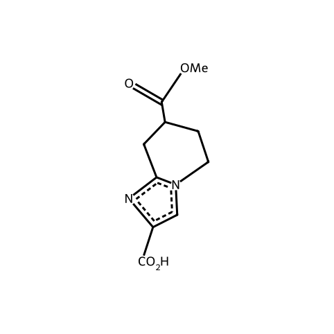 COC(=O)C1CCn2cc(C(=O)O)nc2C1